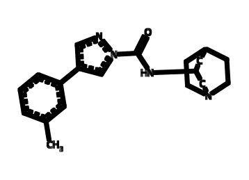 Cc1cccc(-c2cnn(C(=O)NC3CC4CCN(CC4)C3)c2)c1